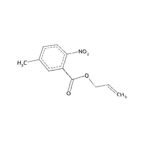 C=CCOC(=O)c1cc(C)ccc1[N+](=O)[O-]